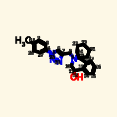 Cc1ccc(-n2cc(CN3CC(O)c4ccccc4C34CCCCC4)nn2)cc1